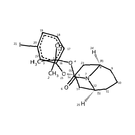 CC(C)(C)OC(=O)N1[C@@H]2CCC[C@H]1C[C@H](Oc1cccc(I)c1)C2